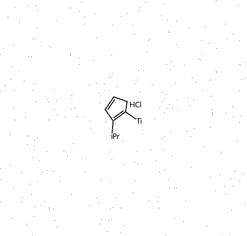 CC(C)C1=[C]([Ti])CC=C1.Cl